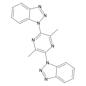 Cc1nc(-n2nnc3ccccc32)c(C)nc1-n1nnc2ccccc21